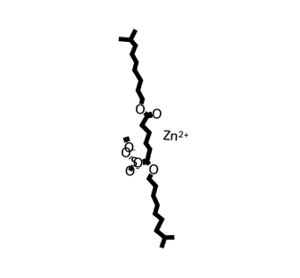 C=O.CC(C)CCCCCCCOC(=O)CCCCC(=O)OCCCCCCCC(C)C.[O-]S[O-].[Zn+2]